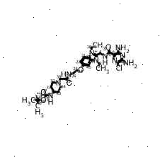 CCn1c(CNC(=O)c2nc(Cl)c(N)nc2N)[n+](CC)c2ccc(OCCNC(=O)CN3CCC(NC(=O)OC(C)(C)C)CC3)cc21